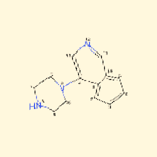 c1ccc2c(N3CCNCC3)cncc2c1